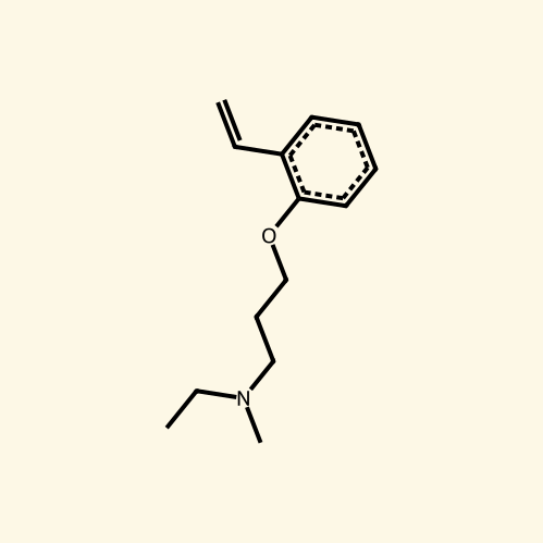 C=Cc1ccccc1OCCCN(C)CC